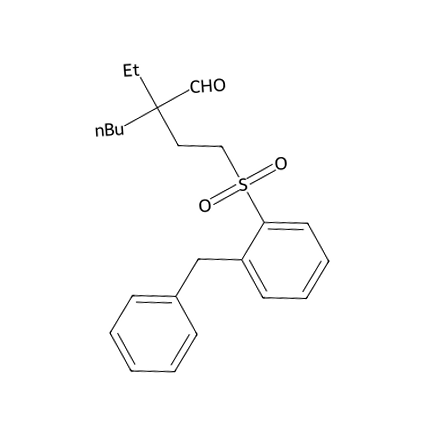 CCCCC(C=O)(CC)CCS(=O)(=O)c1ccccc1Cc1ccccc1